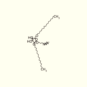 CCCCCCCCCCCCCCCCOC[C@H]1O[C@@H](OCCCN=[N+]=[N-])[C@H](OCCCCCCCCCCCCCCCC)[C@@H](O)[C@H]1O